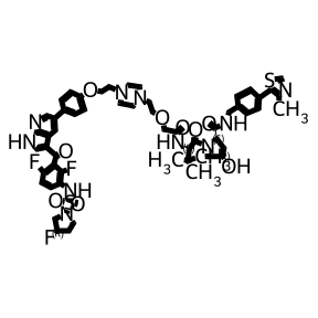 Cc1ncsc1-c1ccc(CNC(=O)[C@@H]2C[C@@H](O)CN2C(=O)[C@@H](NC(=O)COCCN2CCN(CCOc3ccc(-c4cnc5[nH]cc(C(=O)c6c(F)ccc(NS(=O)(=O)N7CC[C@@H](F)C7)c6F)c5c4)cc3)CC2)C(C)(C)C)cc1